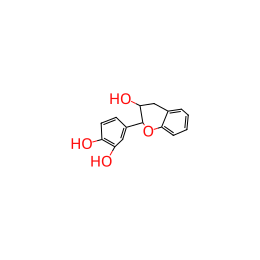 Oc1ccc(C2Oc3ccccc3CC2O)cc1O